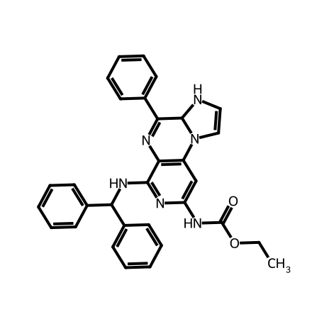 CCOC(=O)Nc1cc2c(c(NC(c3ccccc3)c3ccccc3)n1)N=C(c1ccccc1)C1NC=CN21